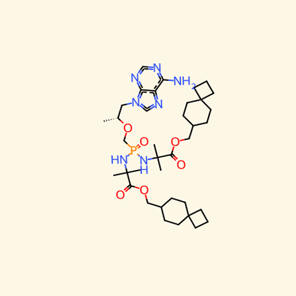 C[C@H](Cn1cnc2c(N)ncnc21)OCP(=O)(NC(C)(C)C(=O)OCC1CCC2(CCC2)CC1)NC(C)(C)C(=O)OCC1CCC2(CCC2)CC1